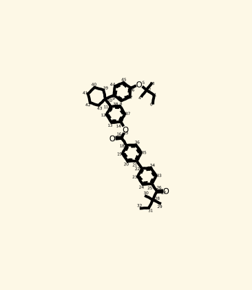 CCC(C)(C)Oc1ccc(C2(c3ccc(OC(=O)c4ccc(-c5ccc(C(=O)C(C)(C)CC)cc5)cc4)cc3)CCCCC2)cc1